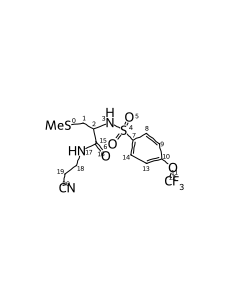 CSCC(NS(=O)(=O)c1ccc(OC(F)(F)F)cc1)C(=O)NCCC#N